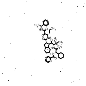 CCC[C@H](NC(=O)[C@@H]1CC2CCCCC2N1C(=O)[C@@H](NC(=O)[C@@H](NC(=O)c1cnccn1)C1CCCCC1)C(C)(C)C)C(=O)C(=O)NN(C)c1ccccc1